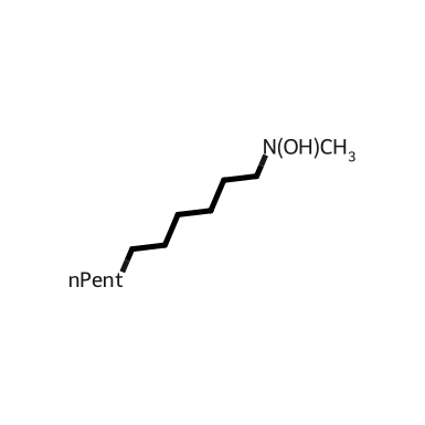 CCCCCCCCCCCN(C)O